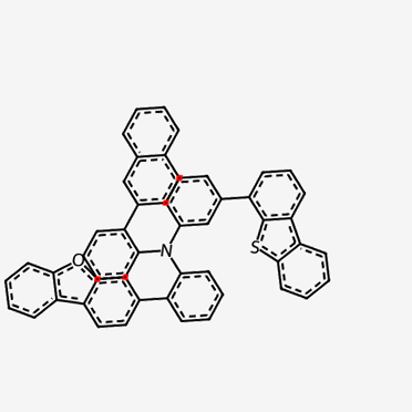 c1cc(-c2cccc3c2sc2ccccc23)cc(N(c2ccccc2-c2ccc3ccccc3c2)c2ccccc2-c2ccc3c(c2)oc2ccccc23)c1